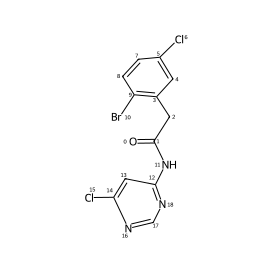 O=C(Cc1cc(Cl)ccc1Br)Nc1cc(Cl)ncn1